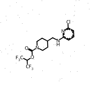 O=C(OC(C(F)(F)F)C(F)(F)F)N1CCC(CNc2cccc(Cl)n2)CC1